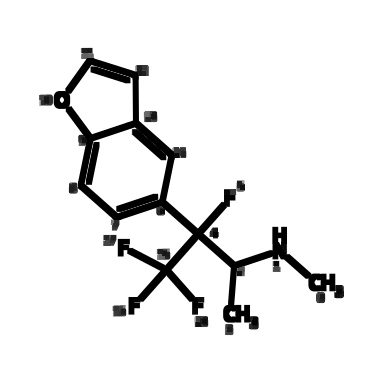 CNC(C)C(F)(c1ccc2occc2c1)C(F)(F)F